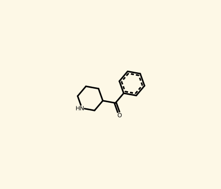 O=C(c1ccccc1)C1CCCNC1